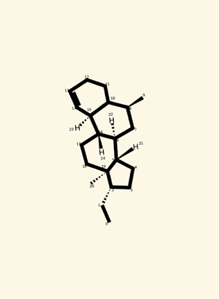 CC[C@H]1CC[C@H]2[C@@H]3C[C@H](C)C4CCC=C[C@@H]4[C@H]3CC[C@]12C